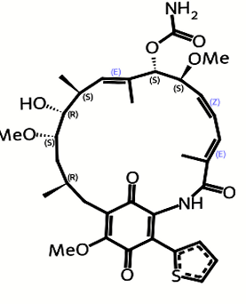 COC1=C2C[C@@H](C)C[C@H](OC)[C@H](O)[C@@H](C)/C=C(\C)[C@H](OC(N)=O)[C@@H](OC)/C=C\C=C(/C)C(=O)NC(=C(c3cccs3)C1=O)C2=O